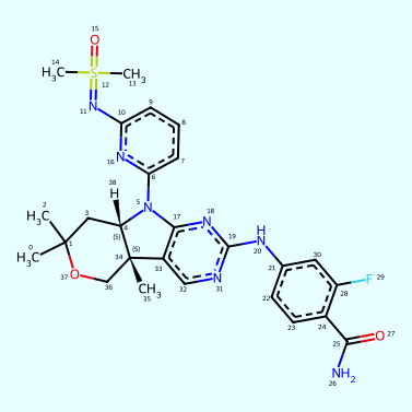 CC1(C)C[C@@H]2N(c3cccc(N=S(C)(C)=O)n3)c3nc(Nc4ccc(C(N)=O)c(F)c4)ncc3[C@]2(C)CO1